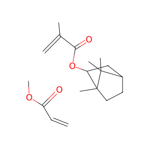 C=C(C)C(=O)OC1CC2CCC1(C)C2(C)C.C=CC(=O)OC